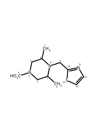 CC1CN(C(=O)O)CC(C)N1Cc1nccs1